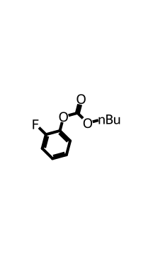 CCCCOC(=O)Oc1ccccc1F